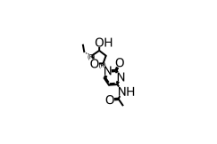 CC[C@H]1O[C@@H](n2ccc(NC(C)=O)nc2=O)CC1O